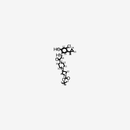 CC(C)(C)OC(=O)N1CC(N2CCN(C(=O)CNc3cc(C4(C)CC4)c(Cl)cc3O)CC2)C1